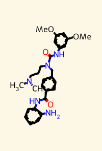 COc1cc(NC(=O)N(CCCN(C)C)Cc2ccc(C(=O)Nc3ccccc3N)cc2)cc(OC)c1